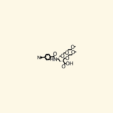 COCCOCOC[C@H](C[C@H](COCCOC)C(=O)O)NC(=O)c1ccc(C#N)cc1